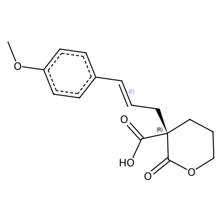 COc1ccc(/C=C/C[C@@]2(C(=O)O)CCCOC2=O)cc1